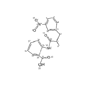 CC(Cc1cccc([N+](=O)[O-])c1)C(=O)Nc1ccccc1C(=O)O